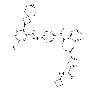 Cc1cnc(N2CC3(CCOCC3)C2)c(C(=O)Nc2ccc(C(=O)N3CCC(c4ccc(C(=O)NC5CCC5)s4)=Cc4ccccc43)cc2)c1